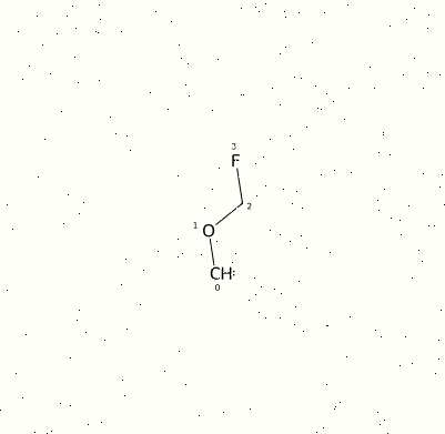 [CH]OCF